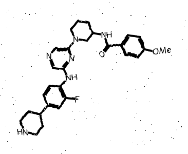 COc1ccc(C(=O)NC2CCCN(c3cncc(Nc4ccc(C5CCNCC5)cc4F)n3)C2)cc1